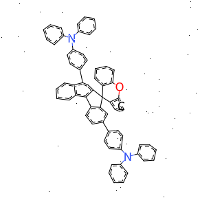 c1ccc(N(c2ccccc2)c2ccc(-c3ccc4c(c3)C3(c5ccccc5Oc5ccccc53)c3cc(-c5ccc(N(c6ccccc6)c6ccccc6)cc5)c5ccccc5c3-4)cc2)cc1